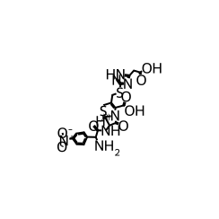 NC(C(=O)NC1C(=O)N2C(C(=O)O)=C(CSc3n[nH]c(CC(=O)O)n3)CS[C@H]12)c1ccc([N+](=O)[O-])cc1